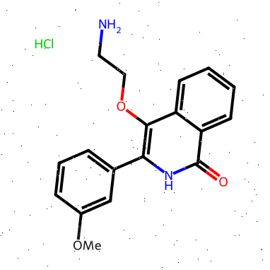 COc1cccc(-c2[nH]c(=O)c3ccccc3c2OCCN)c1.Cl